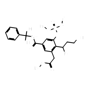 CCC(CCO)c1c(CC(=O)OC(C)(C)C)cc(C(=O)NC(C)(C)c2ccccc2)cc1OP(=O)(OC(C)C)OC(C)C